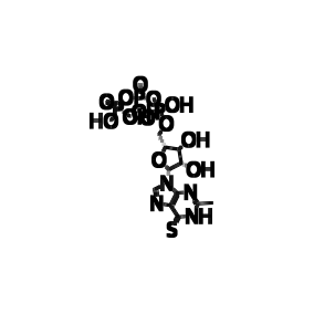 Cc1nc2c(ncn2[C@@H]2O[C@H](COP(=O)(O)OP(=O)(O)OP(=O)(O)O)C(O)[C@@H]2O)c(=S)[nH]1